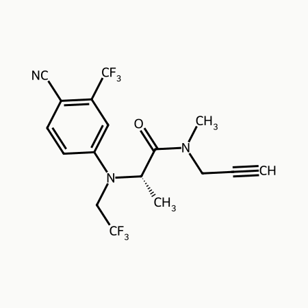 C#CCN(C)C(=O)[C@H](C)N(CC(F)(F)F)c1ccc(C#N)c(C(F)(F)F)c1